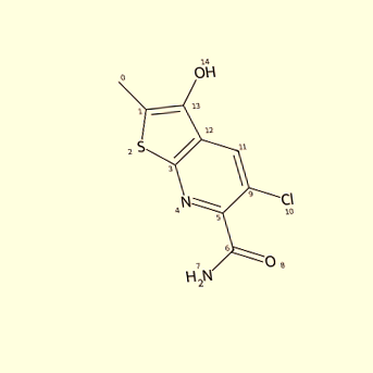 Cc1sc2nc(C(N)=O)c(Cl)cc2c1O